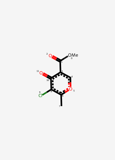 COC(=O)c1coc(C)c(Cl)c1=O